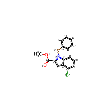 COC(=O)c1cc2c(Br)cccc2n1Sc1ccccc1